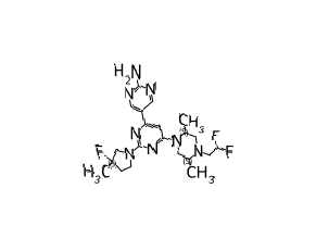 C[C@H]1CN(c2cc(-c3cnc(N)nc3)nc(N3CC[C@](C)(F)C3)n2)[C@@H](C)CN1CC(F)F